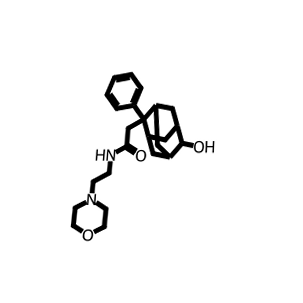 O=C(CC1(c2ccccc2)C2CC3CC1CC(C2)C3O)NCCN1CCOCC1